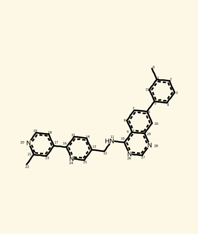 Cc1cccc(-c2ccc3c(NCc4ccc(-c5ccnc(C)c5)nc4)ncnc3c2)c1